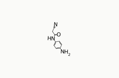 N#CCC(=O)Nc1ccc(N)cc1